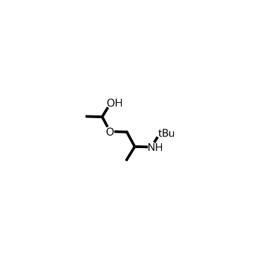 CC(COC(C)O)NC(C)(C)C